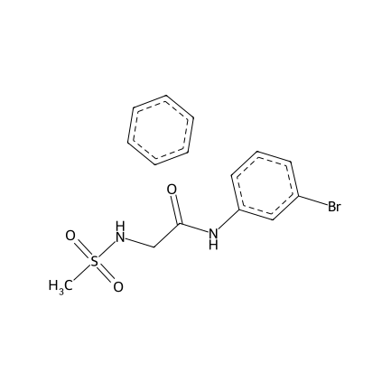 CS(=O)(=O)NCC(=O)Nc1cccc(Br)c1.c1ccccc1